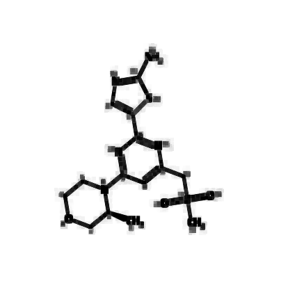 C[C@H]1COCCN1c1cc(CS(C)(=O)=O)nc(-c2cnc(N)s2)n1